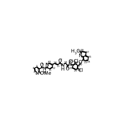 COc1ncccc1C(=O)Nc1ccc(C=CC(=O)NCC(=O)N(C)c2ccc(Cl)c(COc3cccc4ccc(C)nc34)c2Cl)cn1